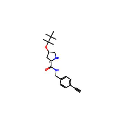 C#Cc1ccc(CNC(=O)[C@@H]2CC(O[Si](C)(C)C(C)(C)C)CN2)cc1